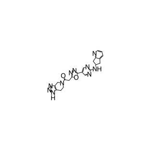 O=C(Cc1nnc(-c2cnc(NC3Cc4cccnc4C3)nc2)o1)N1CCc2[nH]nnc2C1